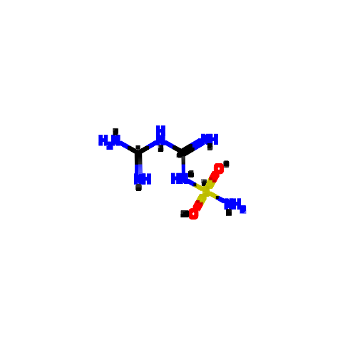 N=C(N)NC(=N)NS(N)(=O)=O